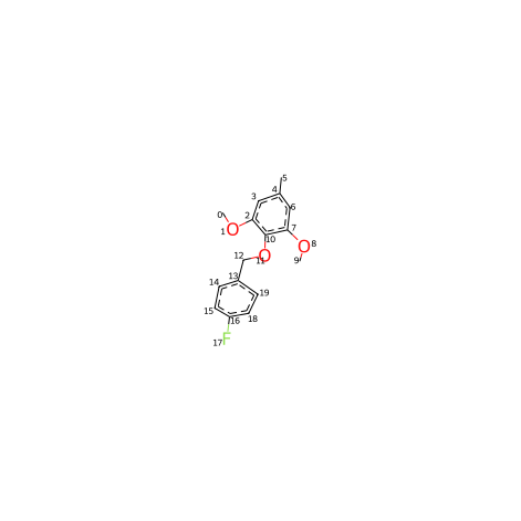 COc1cc(C)cc(OC)c1OCc1ccc(F)cc1